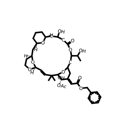 CC(=O)O[C@H]1/C(=C/C(=O)OCc2ccccc2)CC2CC(C(C)O)OC(=O)CC(O)C[C@@H]3CCC[C@H](C[C@@H]4CCO[C@H](/C=C/C(C)(C)[C@]1(O)O2)O4)O3